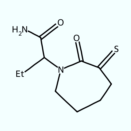 CCC(C(N)=O)N1CCCCC(=S)C1=O